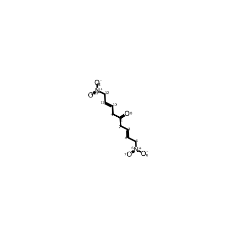 O=C(CC=CC[N+](=O)[O-])CC=CC[N+](=O)[O-]